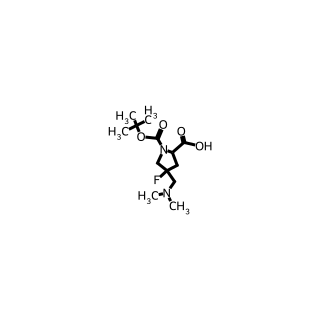 CN(C)CC1(F)CC(C(=O)O)N(C(=O)OC(C)(C)C)C1